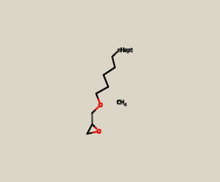 C.CCCCCCCCCCCCOCC1CO1